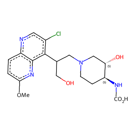 COc1ccc2ncc(Cl)c(C(CO)CN3CC[C@H](NC(=O)O)[C@@H](O)C3)c2n1